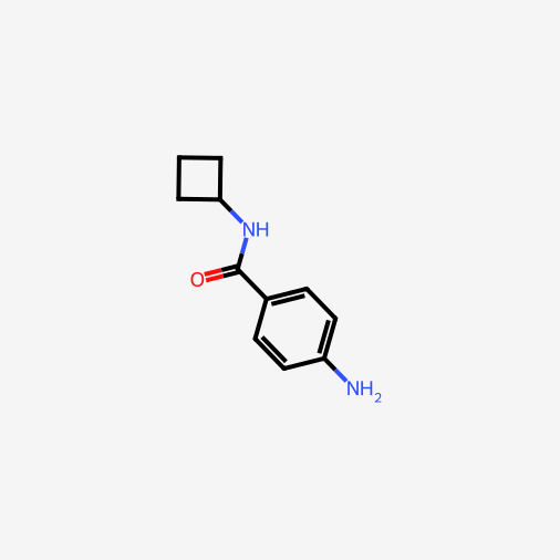 Nc1ccc(C(=O)NC2CCC2)cc1